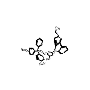 COc1ccc(C(OC[C@H]2O[C@@H](n3c4ccccc4c4cc(/C=C/C#N)ccc43)CC2O)(c2ccccc2)c2ccc(OC)cc2)cc1